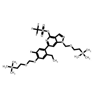 CCc1cc(OCOCC[Si](C)(C)C)c(F)cc1-c1cc2c(cnn2COCC[Si](C)(C)C)c(OS(=O)(=O)C(F)(F)F)n1